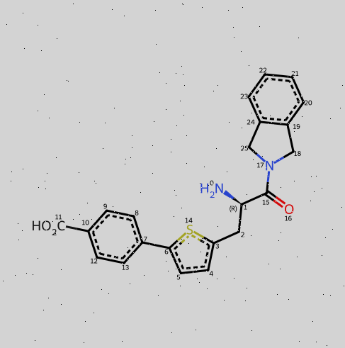 N[C@H](Cc1ccc(-c2ccc(C(=O)O)cc2)s1)C(=O)N1Cc2ccccc2C1